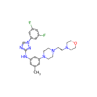 Cc1cc(Nc2ncn(-c3cc(F)cc(F)c3)n2)cc(N2CCN(CCN3CCOCC3)CC2)c1